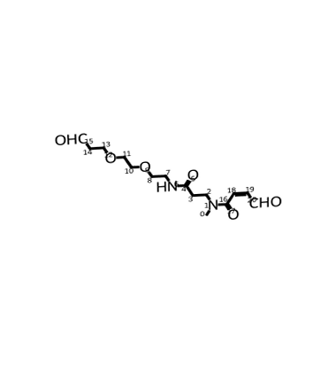 CN(CCC(=O)NCCOCCOCCC=O)C(=O)/C=C\C=O